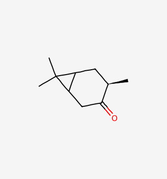 C[C@@H]1CC2C(CC1=O)C2(C)C